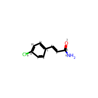 NC(=O)C=Cc1ccc(Cl)cc1